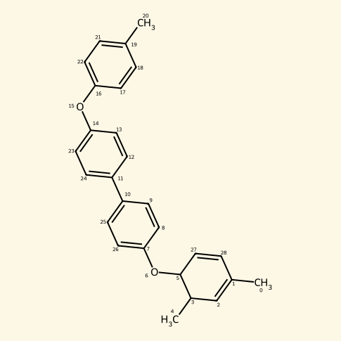 CC1=CC(C)C(Oc2ccc(-c3ccc(Oc4ccc(C)cc4)cc3)cc2)C=C1